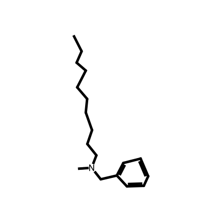 CCCCCCCCCCN(C)Cc1ccccc1